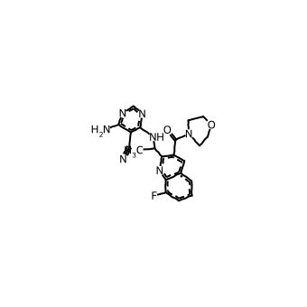 CC(Nc1ncnc(N)c1C#N)c1nc2c(F)cccc2cc1C(=O)N1CCOCC1